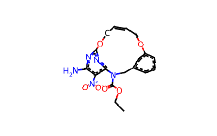 CCOC(=O)N1Cc2cccc(c2)OC/C=C\COc2nc(N)c([N+](=O)[O-])c1n2